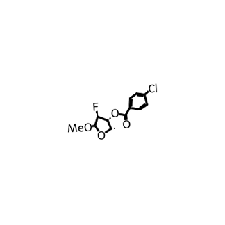 COC1O[CH][C@@H](OC(=O)c2ccc(Cl)cc2)[C@@H]1F